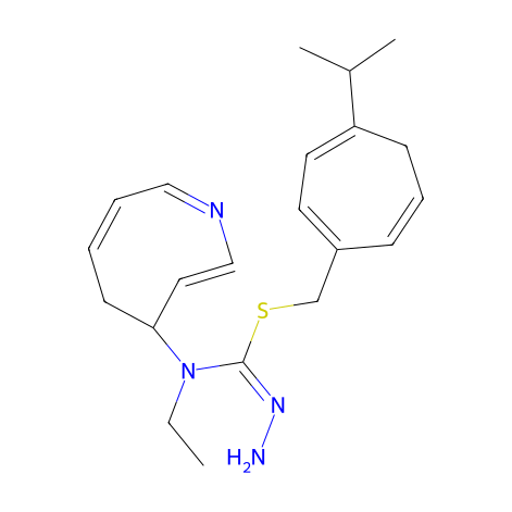 CCN(/C(=N\N)SCC1=CC=C(C(C)C)CC=C1)C1/C=C/N=C\C=C/C1